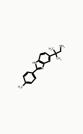 Cc1ccc(-c2nc3cc(C(C)(C)CN)ccc3[nH]2)cc1